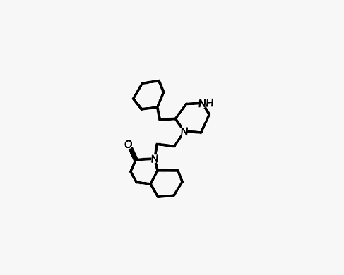 O=C1CCC2CCCCC2N1CCN1CCNCC1CC1CCCCC1